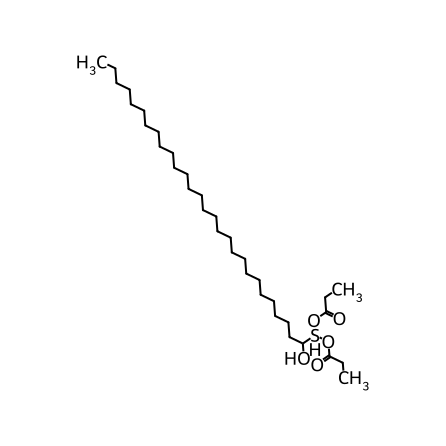 CCCCCCCCCCCCCCCCCCCCCCCCCCCC(O)[SH](OC(=O)CC)OC(=O)CC